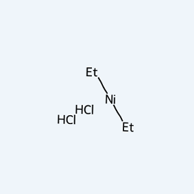 C[CH2][Ni][CH2]C.Cl.Cl